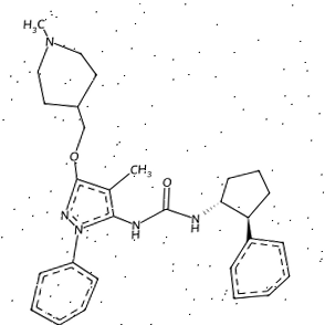 Cc1c(OCC2CCN(C)CC2)nn(-c2ccccc2)c1NC(=O)N[C@@H]1CCC[C@H]1c1ccccc1